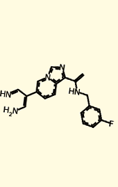 C=C(NCc1cccc(F)c1)c1ncn2cc(/C(C=N)=C/N)ccc12